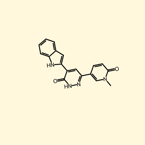 Cn1cc(-c2cc(-c3cc4ccccc4[nH]3)c(=O)[nH]n2)ccc1=O